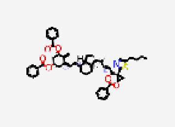 C=C1/C(=C\C=C2/CCC[C@]3(C)[C@@H]([C@H](C)/C=C/[C@@H](OC(=O)c4ccccc4)C4(c5ncc(CCCC)s5)CC4)CC[C@@H]23)C[C@@H](OC(=O)c2ccccc2)C[C@@H]1OC(=O)c1ccccc1